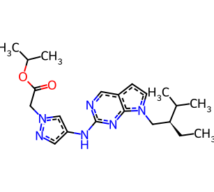 CC[C@@H](Cn1ccc2cnc(Nc3cnn(CC(=O)OC(C)C)c3)nc21)C(C)C